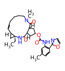 CC[C@@]12C[C@H]1/C=C\CCCCN(C)C(=O)[C@@H]1C[C@H](OC(=O)Nc3cc(C)ccc3-c3ncco3)C[C@H]1C(=O)N2